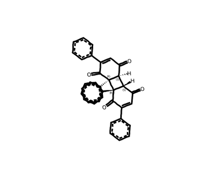 O=C1C=C(c2ccccc2)C(=O)[C@@]2(c3ccccc3)[C@@H]1[C@@H]1C(=O)C=C(c3ccccc3)C(=O)[C@@]12c1ccccc1